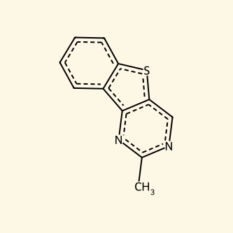 Cc1ncc2sc3ccccc3c2n1